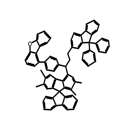 Cc1cc2c(cc1C)C1(c3ccccc3-c3ccccc31)c1c(C)c(C)cc(C(CCc3ccc4c(c3)C(c3ccccc3)(c3ccccc3)c3ccccc3-4)c3ccc(-c4cccc5oc6ccccc6c45)cc3)c1-2